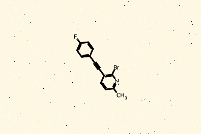 Cc1ccc(C#Cc2ccc(F)cc2)c(Br)n1